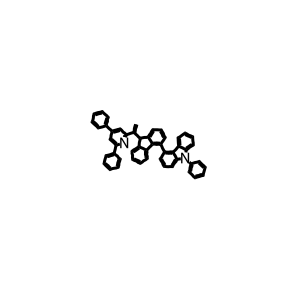 C=C(c1cc(-c2ccccc2)cc(-c2ccccc2)n1)C1c2ccccc2-c2c(-c3cccc4c3c3ccccc3n4-c3ccccc3)cccc21